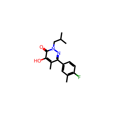 Cc1cc(-c2nn(CC(C)C)c(=O)c(O)c2C)ccc1F